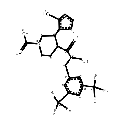 Cc1ccsc1C1CN(C(=O)O)CCC1C(=O)N(C)Cc1cc(C(F)(F)F)cc(C(F)(F)F)c1